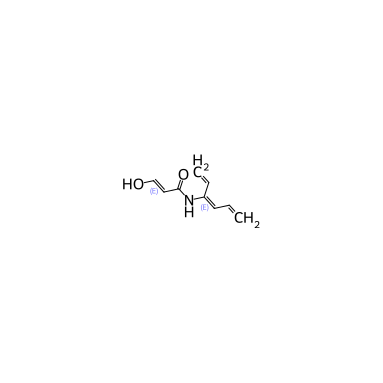 C=C/C=C(\C=C)NC(=O)/C=C/O